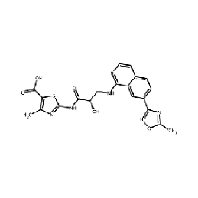 Cc1nc(-c2ccc3ccnc(NC[C@@H](O)C(=O)Nc4nc(C)c(C(=O)O)s4)c3c2)no1